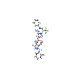 Cc1nn(Cc2ccccc2)c(C)c1NC(=O)c1cc2n(n1)C(C(F)(F)F)CC(c1ccccc1)N2